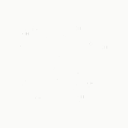 COc1cc2c(cc1OC)C1(CC(C)(C)c3cc(CO)c(CO)cc31)CC2(C)C